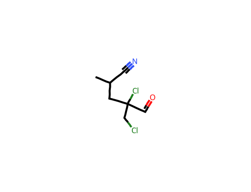 CC(C#N)CC(Cl)(C=O)CCl